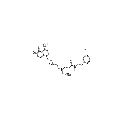 CC(C)(C)CN(CCNCCc1ccc(O)c2[nH]c(=O)ccc12)CCC(=O)NCCc1cccc(Cl)c1